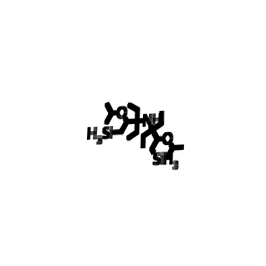 CCC(CC)(NC(CC)(CC)C(C[SiH3])OC(C)C)C(C[SiH3])OC(C)C